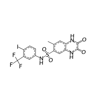 Cc1cc2[nH]c(=O)c(=O)[nH]c2cc1S(=O)(=O)Nc1ccc(I)c(C(F)(F)F)c1